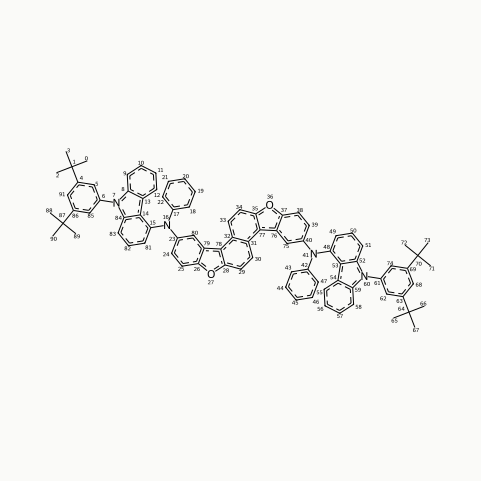 CC(C)(C)c1cc(-n2c3ccccc3c3c(N(c4ccccc4)c4ccc5oc6ccc7c(ccc8oc9ccc(N(c%10ccccc%10)c%10cccc%11c%10c%10ccccc%10n%11-c%10cc(C(C)(C)C)cc(C(C)(C)C)c%10)cc9c87)c6c5c4)cccc32)cc(C(C)(C)C)c1